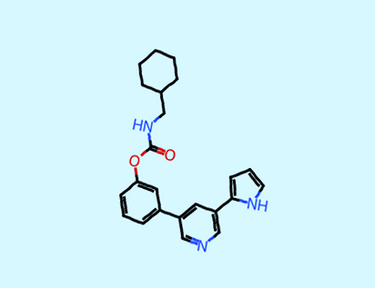 O=C(NCC1CCCCC1)Oc1cccc(-c2cncc(-c3ccc[nH]3)c2)c1